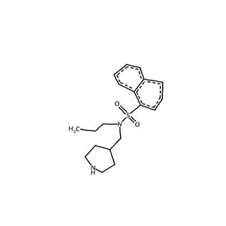 CCCN(CC1CCNCC1)S(=O)(=O)c1cccc2ccccc12